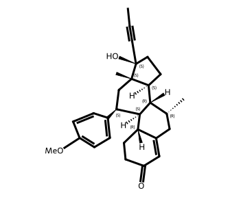 CC#C[C@]1(O)CC[C@H]2[C@H]3[C@H]([C@@H](c4ccc(OC)cc4)C[C@@]21C)[C@H]1CCC(=O)C=C1C[C@H]3C